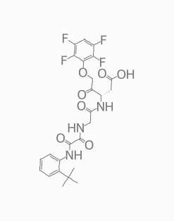 CC(C)(C)c1ccccc1NC(=O)C(=O)NCC(=O)N[C@@H](CC(=O)O)C(=O)COc1c(F)c(F)cc(F)c1F